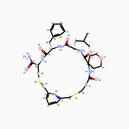 CC(C)C[C@@H]1NC(=O)C2(CCOCC2)NC(=O)CCSCc2cccc(n2)CSC[C@@H](C(N)=O)NC(=O)[C@H](Cc2ccccc2)NC1=O